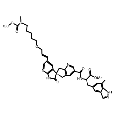 COC(=O)[C@@H](Cc1cc(C)c2[nH]ncc2c1)NC(=O)c1cnc2c(c1)C[C@@]1(C2)C(=O)Nc2ncc(/C=C/COCCCCCN(C)C(=O)OC(C)(C)C)cc21